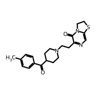 Cc1ccc(C(=O)C2CCN(CCc3ncc4n(c3=O)CCS4)CC2)cc1